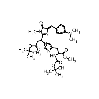 COC(=O)C(Cc1cn(C(CC(=O)OC(C)(C)C)C2=N/C(=C\c3ccc(N(C)C)cc3)C(=O)N2C)cn1)NC(=O)OC(C)(C)C